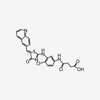 O=C(O)CCC(=O)Nc1ccc(Cl)c(NC2=NC(=O)/C(=C/c3ccc4ncccc4c3)S2)c1